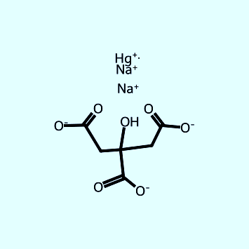 O=C([O-])CC(O)(CC(=O)[O-])C(=O)[O-].[Hg+].[Na+].[Na+]